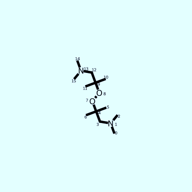 CN(C)CC(C)(C)OOC(C)(C)CN(C)C